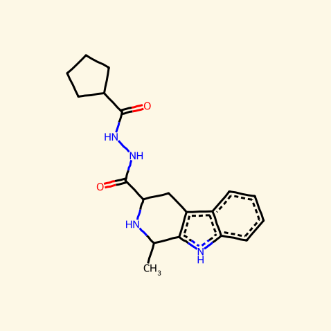 CC1NC(C(=O)NNC(=O)C2CCCC2)Cc2c1[nH]c1ccccc21